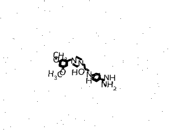 COc1cc(CN2CCN(CC(O)CNc3ccc(C(=N)N)cc3)CC2)cc(OC)c1